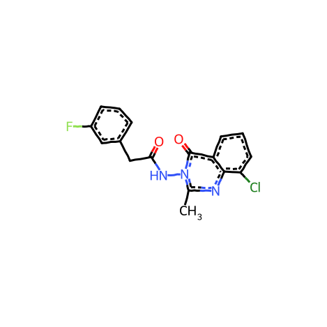 Cc1nc2c(Cl)cccc2c(=O)n1NC(=O)Cc1cccc(F)c1